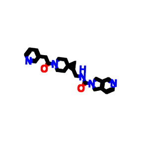 O=C(Cc1cccnc1)N1CCC2(CC1)CC2CNC(=O)N1Cc2ccncc2C1